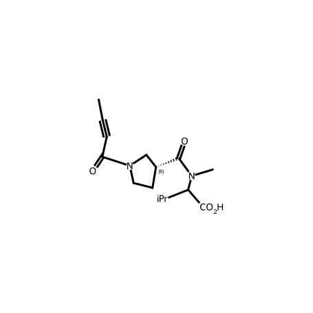 CC#CC(=O)N1CC[C@@H](C(=O)N(C)C(C(=O)O)C(C)C)C1